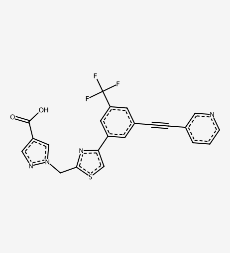 O=C(O)c1cnn(Cc2nc(-c3cc(C#Cc4cccnc4)cc(C(F)(F)F)c3)cs2)c1